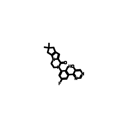 Cc1c(-c2ncncc2O)cc(F)cc1N1CCn2c(cc3c2CC(C)(C)C3)C1=O